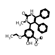 CCOc1cc(C2C(c3ccccc3)=C(c3ccccc3)NC(=O)N2C)cc([N+](=O)[O-])c1O